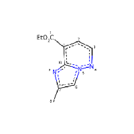 CCOC(=O)c1ccnn2cc(C)nc12